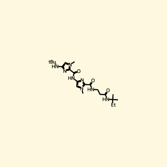 CCC(C)(C)NC(=O)CCNC(=O)c1nc(NC(=O)c2nc(NC(C)(C)C)cn2C)cn1C